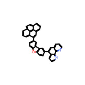 c1cnc2c(c1)cc(-c1ccc3oc4ccc(-c5cc6cccc7ccc8cccc5c8c76)cc4c3c1)c1cccnc12